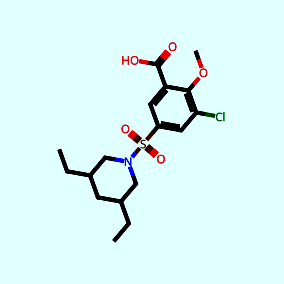 CCC1CC(CC)CN(S(=O)(=O)c2cc(Cl)c(OC)c(C(=O)O)c2)C1